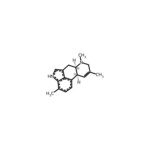 CC1=C[C@H]2c3ccc(C)c4[nH]cc(c34)C[C@H]2N(C)C1